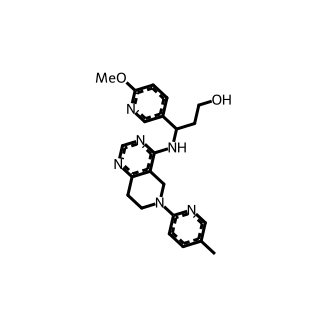 COc1ccc(C(CCO)Nc2ncnc3c2CN(c2ccc(C)cn2)CC3)cn1